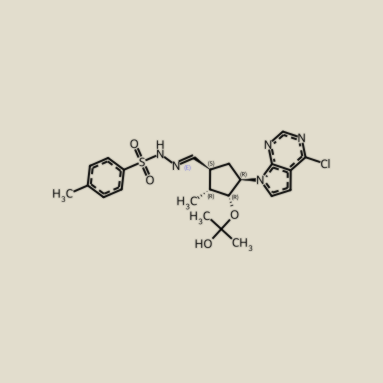 Cc1ccc(S(=O)(=O)N/N=C/[C@H]2C[C@@H](n3ccc4c(Cl)ncnc43)[C@H](OC(C)(C)O)[C@@H]2C)cc1